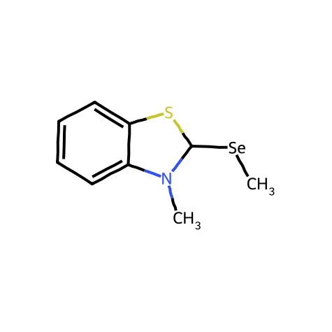 C[Se]C1Sc2ccccc2N1C